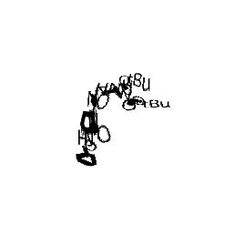 CC(C)(C)OC(=O)NCC(NC(=O)OC(C)(C)C)c1nnc([C@@H]2CC[C@H]3CN2C(=O)N3OCc2ccccc2)o1